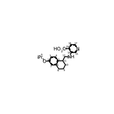 CC(C)Oc1ccc2c(c1)CCCC2CNc1cnccc1C(=O)O